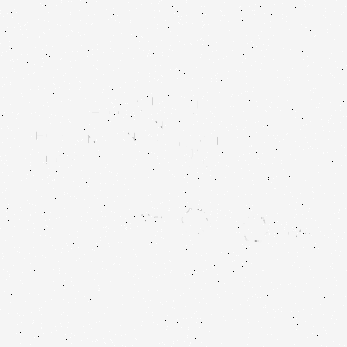 COc1ccc(C(C)(CCCCOP(=O)(O)OCC(CN(CCN(CC(=O)O)CC(=O)O)CC(=O)O)N(CC(=O)O)CC(=O)O)c2ccc(OC)cc2)cc1